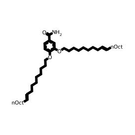 CCCCCCCCC=CCCCCCCCCOc1ccc(C(N)=O)cc1OCCCCCCCCC=CCCCCCCCC